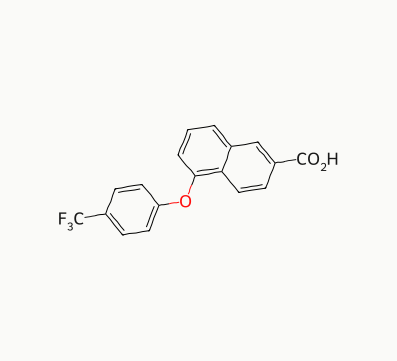 O=C(O)c1ccc2c(Oc3ccc(C(F)(F)F)cc3)cccc2c1